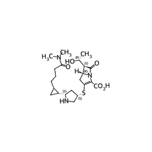 C[C@@H](O)[C@H]1C(=O)N2C(C(=O)O)=C(S[C@@H]3CN[C@H](C4CC4CCCC(=O)N(C)C)C3)C[C@H]12